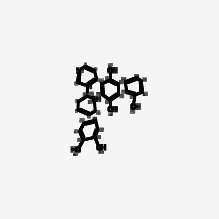 C1=CC[C@@H](c2cccnc2)NC1.Oc1ccc(O)cc1.Oc1ccccc1.Oc1ccccc1O